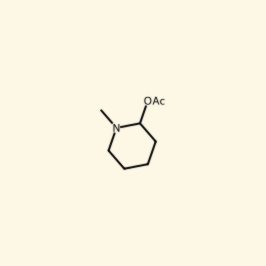 CC(=O)OC1CCCCN1C